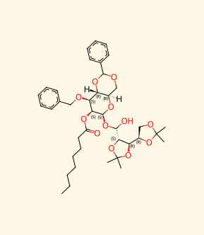 CCCCCCCC(=O)O[C@@H]1[C@H](OC(O)[C@H]2OC(C)(C)O[C@@H]2[C@H]2COC(C)(C)O2)O[C@@H]2COC(c3ccccc3)O[C@H]2[C@@H]1OCc1ccccc1